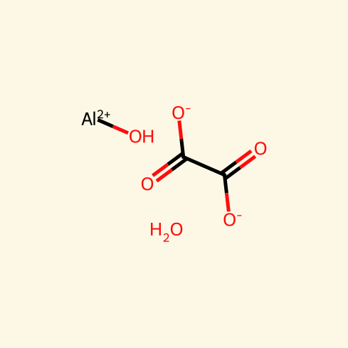 O.O=C([O-])C(=O)[O-].[OH][Al+2]